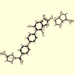 O=C(c1ccc(-c2ccc(-c3c(F)cc4[nH]c(O[C@H]5COC6C(O)COC65)nc4c3F)cc2)cc1)N1CC[C@@H](O)C1